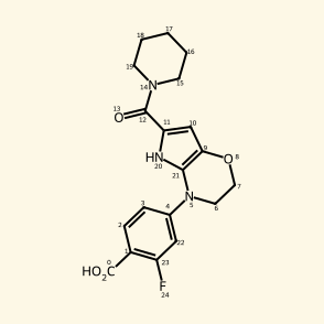 O=C(O)c1ccc(N2CCOc3cc(C(=O)N4CCCCC4)[nH]c32)cc1F